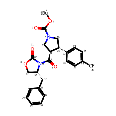 CC(C)(C)OC(=O)N1C[C@H](C(=O)N2C(=O)OC[C@H]2Cc2ccccc2)[C@@H](c2ccc(C(F)(F)F)cc2)C1